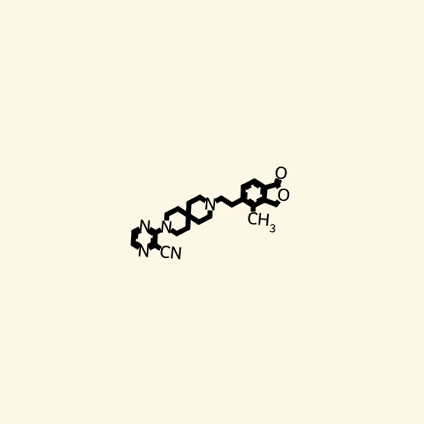 Cc1c(CCN2CCC3(CC2)CCN(c2nccnc2C#N)CC3)ccc2c1COC2=O